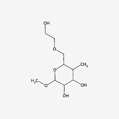 COC1OC(COCCO)C(C)C(O)C1O